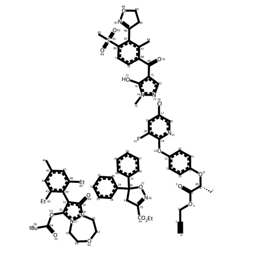 C#CCOC(=O)[C@@H](C)Oc1ccc(Oc2ncc(Cl)cc2F)cc1.CCOC(=O)C1=NOC(c2ccccc2)(c2ccccc2)C1.CCc1cc(C)cc(CC)c1-c1c(OC(=O)C(C)(C)C)n2n(c1=O)CCOCC2.Cc1c(C(=O)c2cnn(C)c2O)ccc(S(C)(=O)=O)c1C1=NOCC1